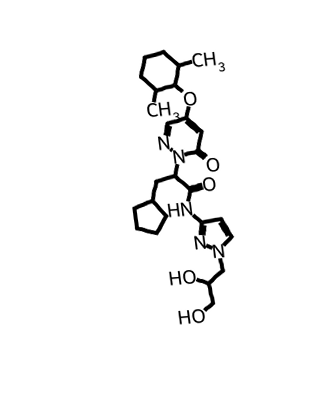 CC1CCCC(C)C1Oc1cnn(C(CC2CCCC2)C(=O)Nc2ccn(CC(O)CO)n2)c(=O)c1